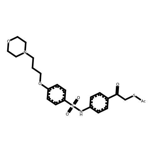 CC(=O)SCC(=O)c1ccc(NS(=O)(=O)c2ccc(OCCCN3CCOCC3)cc2)cc1